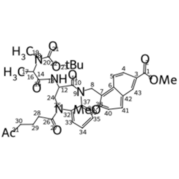 COC(=O)c1ccc2c(CN3C(=O)C(NC(=O)C(C)N(C)C(=O)OC(C)(C)C)CN(C(=O)CCCC(C)=O)c4ccccc43)c(OC)ccc2c1